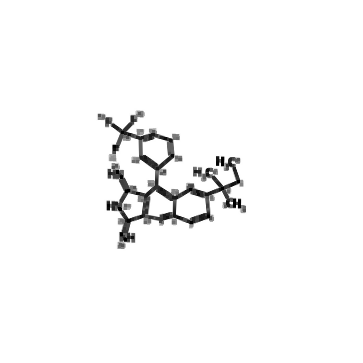 CCC(C)(C)c1ccc2cc3c(c(-c4cccc(C(F)(F)F)c4)c2c1)C(=N)NC3=N